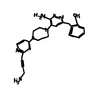 NCC#Cc1nccc(N2CCN(c3cc(-c4ccccc4O)nnc3N)CC2)n1